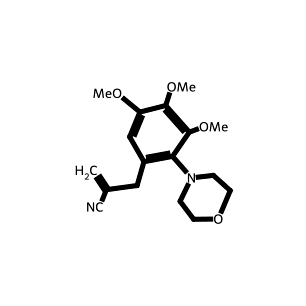 C=C(C#N)Cc1cc(OC)c(OC)c(OC)c1N1CCOCC1